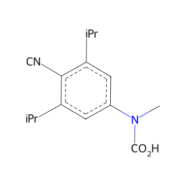 [C-]#[N+]c1c(C(C)C)cc(N(C)C(=O)O)cc1C(C)C